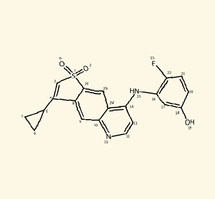 O=S1(=O)C=C(C2CC2)c2cc3nccc(Nc4cc(O)ccc4F)c3cc21